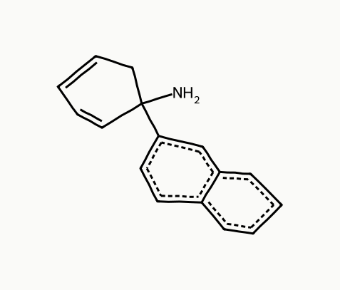 NC1(c2ccc3ccccc3c2)C=CC=CC1